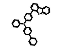 C1=CC(C2C=CC(N(C3=CC=C(c4cccc5c4oc4ccccc45)CC3)c3ccccc3)=CC2)=CCC1